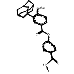 CCNC(=O)c1ccc(OC(=O)c2ccc(OC)c(C34CC5CC(CC(C5)C3)C4)c2)cc1